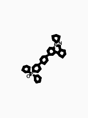 O=P(c1ccccc1)(c1ccccc1)c1ccc(-c2ccc(-c3ccc4c(c3)c3ccccc3c3nc5ccccc5n43)cc2)cc1